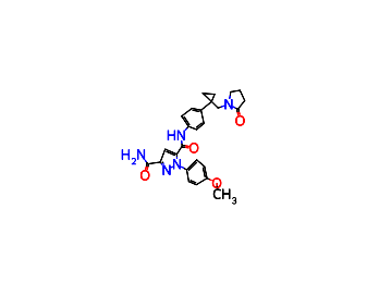 COc1ccc(-n2nc(C(N)=O)cc2C(=O)Nc2ccc(C3(CN4CCCC4=O)CC3)cc2)cc1